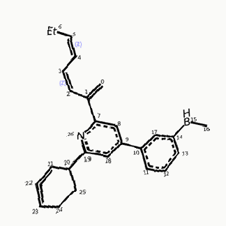 C=C(/C=C\C=C/CC)c1cc(-c2cccc(BC)c2)cc(C2C=C=CCC2)n1